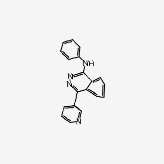 c1ccc(Nc2nnc(-c3cccnc3)c3ccccc23)cc1